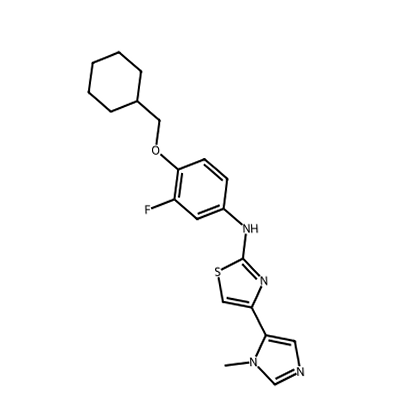 Cn1cncc1-c1csc(Nc2ccc(OCC3CCCCC3)c(F)c2)n1